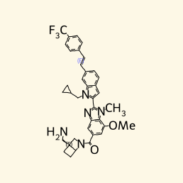 COc1cc(C(=O)N2C[C@@]3(CN)CCC23)cc2nc(-c3cc4ccc(/C=C/c5ccc(C(F)(F)F)cc5)cc4n3CC3CC3)n(C)c12